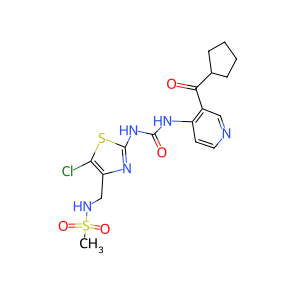 CS(=O)(=O)NCc1nc(NC(=O)Nc2ccncc2C(=O)C2CCCC2)sc1Cl